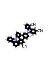 N#Cc1ccc(-c2ccccc2-n2c3ccccc3c3ccccc32)c(-c2ccc(-n3c4ccc(C#N)cc4c4c(C#N)cccc43)cc2)c1